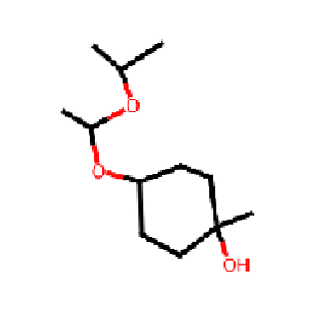 CC(C)OC(C)OC1CCC(C)(O)CC1